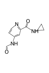 O=CNc1ccnc(C(=O)NC2CC2)c1